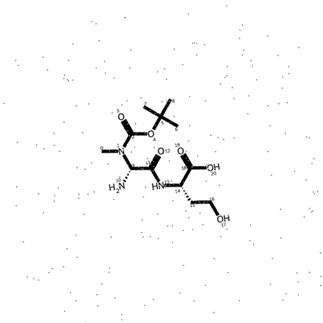 CN(C(=O)OC(C)(C)C)[C@@H](N)C(=O)N[C@@H](CCO)C(=O)O